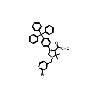 CC1(C)C(C(=O)C=O)N(c2ccc(C(c3ccccc3)(c3ccccc3)c3ccccc3)cc2)CN1Cc1ccnc(Br)c1